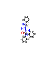 O=C(NNC(=S)Nc1ccccc1)N1c2ccccc2Sc2ccccc21